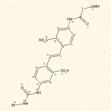 COCC(=O)Nc1ccc(C=Cc2ccc(NC(=O)NC(C)C)cc2S(=O)(=O)O)c(S(=O)(=O)O)c1